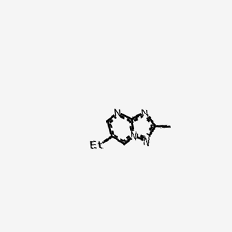 CCc1cnc2nc(C)nn2c1